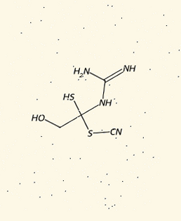 N#CSC(S)(CO)NC(=N)N